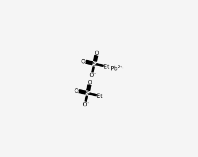 CCS(=O)(=O)[O-].CCS(=O)(=O)[O-].[Pb+2]